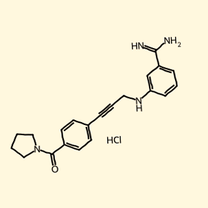 Cl.N=C(N)c1cccc(NCC#Cc2ccc(C(=O)N3CCCC3)cc2)c1